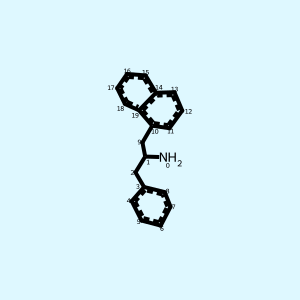 NC(Cc1ccccc1)Cc1cccc2ccccc12